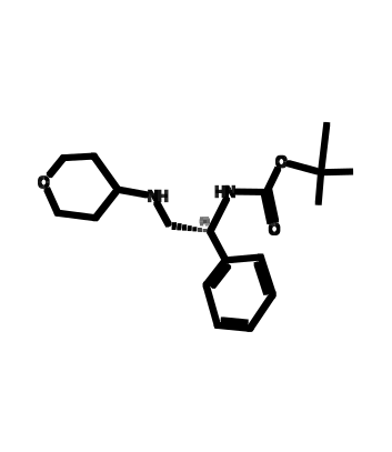 CC(C)(C)OC(=O)N[C@@H](CNC1CCOCC1)c1ccccc1